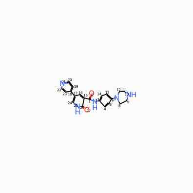 O=C(Nc1ccc(N2CCNCC2)cc1)c1cc(C2=C=C=NC=C2)c[nH]c1=O